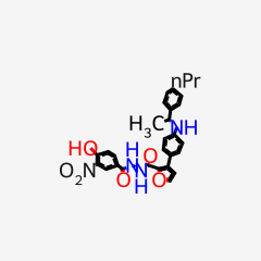 CCCc1ccc(C(C)Nc2ccc(-c3ccoc3C(=O)NNC(=O)c3ccc(O)c([N+](=O)[O-])c3)cc2)cc1